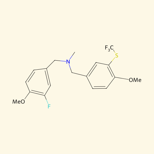 COc1ccc(CN(C)Cc2ccc(OC)c(SC(F)(F)F)c2)cc1F